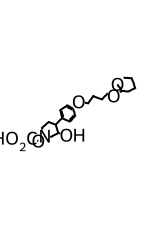 O=C(O)ON1CCC(c2ccc(OCCCCOC3CCCCO3)cc2)C(O)C1